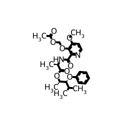 COc1ccnc(C(=O)N[C@H](C)C(=O)O[C@@H](C)[C@H](Oc2ccccc2)C(C)C)c1OCOC(C)=O